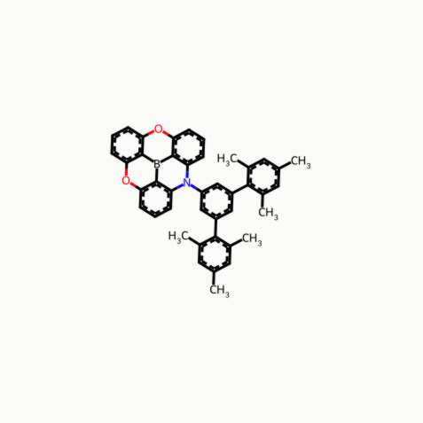 Cc1cc(C)c(-c2cc(-c3c(C)cc(C)cc3C)cc(N3c4cccc5c4B4c6c(cccc6Oc6cccc3c64)O5)c2)c(C)c1